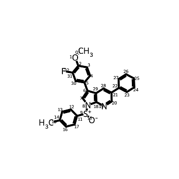 COc1ccc(-c2cn([S+]([O-])c3ccc(C)cc3)c3ncc(-c4ccccc4)cc23)cc1F